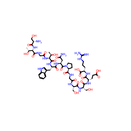 C[C@@H](O)[C@H](NC(=O)CNC(=O)[C@@H](NC(=O)[C@@H](N)CO)[C@@H](C)O)C(=O)N[C@@H](Cc1c[nH]c2ccccc12)C(=O)N[C@@H](CC(N)=O)C(=O)N1CCC[C@H]1C(=O)NCC(=O)N[C@@H](CO)C(=O)N[C@@H](CO)C(=O)N[C@@H](CCC(=O)O)C(=O)N[C@@H](CCCNC(=N)N)C(=O)O